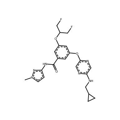 Cn1ccc(NC(=O)c2cc(Oc3cnc(NCC4CC4)cn3)cc(OC(CF)CF)c2)n1